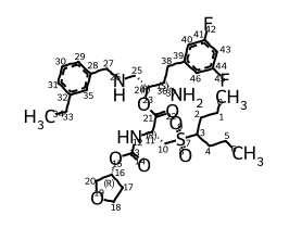 CCCC(CCC)S(=O)(=O)C[C@H](NC(=O)O[C@@H]1CCOC1)C(=O)O[C@H](CNCc1cccc(CC)c1)[C@@H](N)Cc1cc(F)cc(F)c1